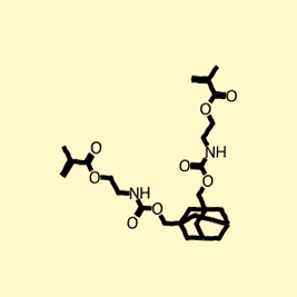 C=C(C)C(=O)OCCNC(=O)OCC12CC3CC(C1)CC(COC(=O)NCCOC(=O)C(=C)C)(C3)C2